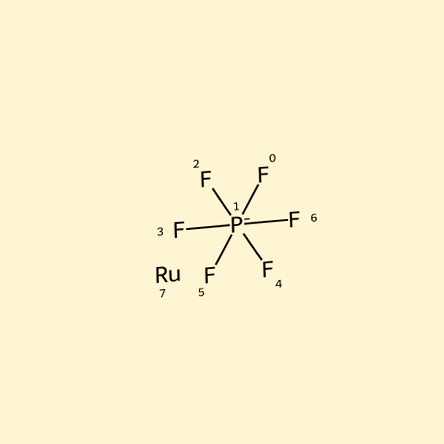 F[P-](F)(F)(F)(F)F.[Ru]